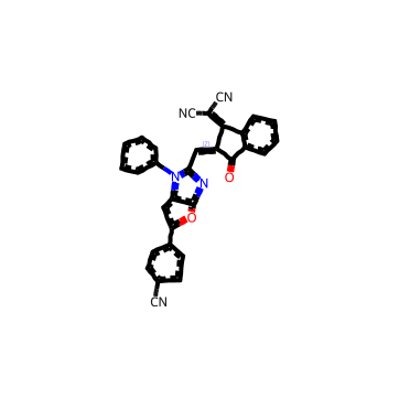 N#CC(C#N)=C1/C(=C/c2nc3oc(-c4ccc(C#N)cc4)cc3n2-c2ccccc2)C(=O)c2ccccc21